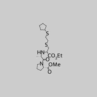 CCOC(=O)[C@H](CSCCSC1CCCC1)N[C@@H](C)C(=O)N1CCC[C@H]1C(=O)OC